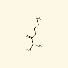 C[C@H](N)C(=O)SCCN